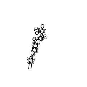 O=C1CCN(c2cc(C(=O)N3CCC4(CCC(CCN5CCNCC5)CC4)CC3)ccc2Cl)C(=O)N1